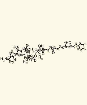 CC(C)(COP(=O)(O)OP(=O)(O)OC[C@H]1O[C@@H](n2cnc3c(N)ncnc32)[C@H](O)[C@@H]1OP(=O)(O)O)[C@@H](O)C(=O)NCCC(=O)NCCSC(=S)C[C@H](O)CCc1ccccc1